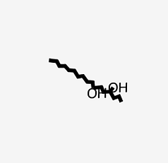 CCCCCCCCCCC(O)CCC(O)CCC